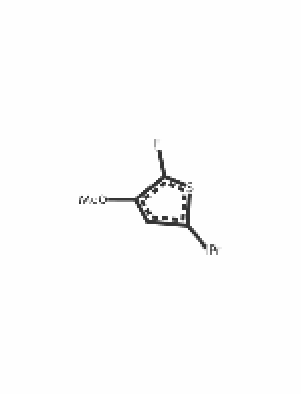 COc1cc(C(C)C)sc1F